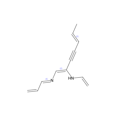 C=C/C=N/C=C(/C#C/C=C/C)NC=C